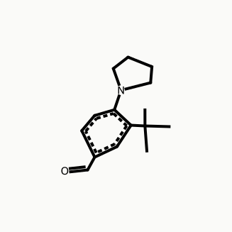 CC(C)(C)c1cc(C=O)ccc1N1CCCC1